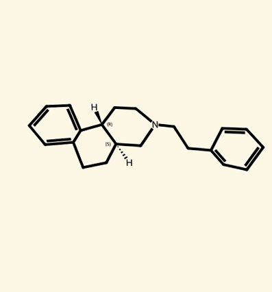 c1ccc(CCN2CC[C@H]3c4ccccc4CC[C@@H]3C2)cc1